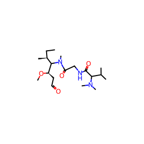 CC[C@H](C)C([C@@H](CC=O)OC)N(C)C(=O)CNC(=O)C(C(C)C)N(C)C